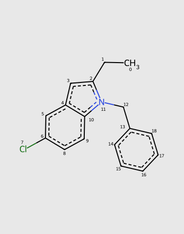 CCc1cc2cc(Cl)ccc2n1Cc1ccccc1